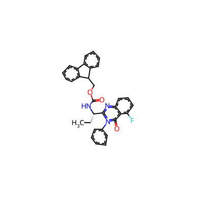 CC[C@H](NC(=O)OCC1c2ccccc2-c2ccccc21)c1nc2cccc(F)c2c(=O)n1-c1ccccc1